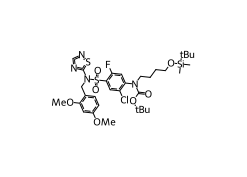 COc1ccc(CN(c2ncns2)S(=O)(=O)c2cc(Cl)c(N(CCCCO[Si](C)(C)C(C)(C)C)C(=O)OC(C)(C)C)cc2F)c(OC)c1